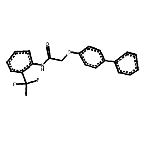 CC(F)(F)c1ccccc1NC(=O)COc1ccc(-c2ccccc2)cc1